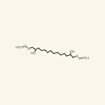 CCCCCCCCSOCC(O)CCCCCCCCCCC(O)COSCCCCCCCC